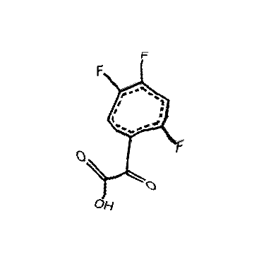 O=C(O)C(=O)c1cc(F)c(F)cc1F